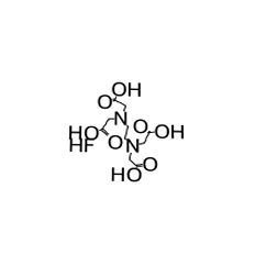 F.O=C(O)CN(CCN(CC(=O)O)CC(=O)O)CC(=O)O